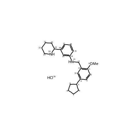 COc1ccc(C2CCCC2)cc1CNc1cccc(C2CCCCN2)c1.Cl